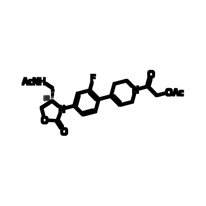 CC(=O)NC[C@H]1COC(=O)N1c1ccc(C2=CCN(C(=O)COC(C)=O)CC2)c(F)c1